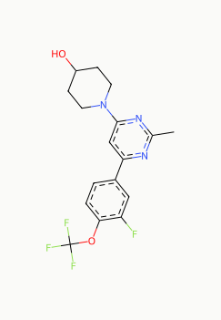 Cc1nc(-c2ccc(OC(F)(F)F)c(F)c2)cc(N2CCC(O)CC2)n1